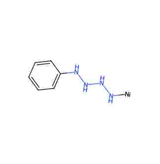 [Ni][NH]NNNc1ccccc1